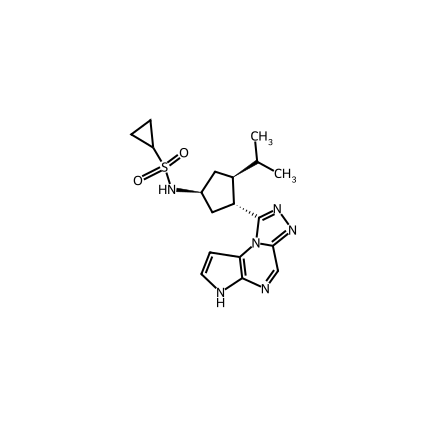 CC(C)[C@@H]1C[C@H](NS(=O)(=O)C2CC2)C[C@H]1c1nnc2cnc3[nH]ccc3n12